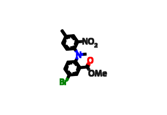 COC(=O)c1cc(Br)ccc1N(C)c1ccc(C)cc1[N+](=O)[O-]